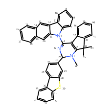 CN1C2=C(C(n3c4ccccc4c4cc5ccccc5cc43)=NC1c1ccc3c(c1)sc1ccccc13)c1ccccc1C2(C)C